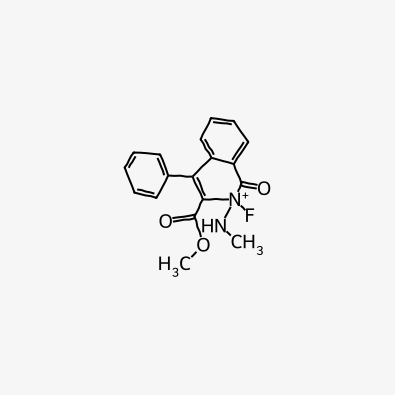 CN[N+]1(F)C(=O)c2ccccc2C(c2ccccc2)=C1C(=O)OC